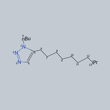 CCCCn1nncc1CCCCCCCC(C)C